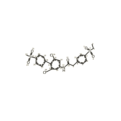 CCS(=O)(=O)c1ccc(CC(=O)Nc2cc(Cl)c(-c3ccc(S(C)(=O)=O)cc3)c(Cl)c2)cc1